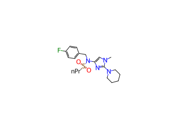 CCCS(=O)(=O)N(Cc1ccc(F)cc1)c1cn(C)c(N2CCCCC2)n1